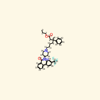 CCCOC(=O)CC(C)(CCCCN1CCC(NC(=O)c2ccccc2-c2ccc(C(F)(F)F)cc2)CC1)c1ccccc1